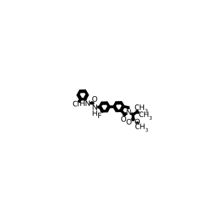 COC(=O)C(C(C)C)N1Cc2ccc(-c3ccc(NC(=O)Nc4ccccc4Cl)c(F)c3)cc2C1=O